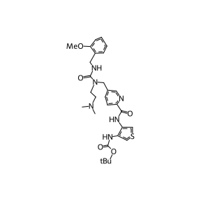 COc1ccccc1CNC(=O)N(CCN(C)C)Cc1ccc(C(=O)Nc2cscc2NC(=O)OC(C)(C)C)nc1